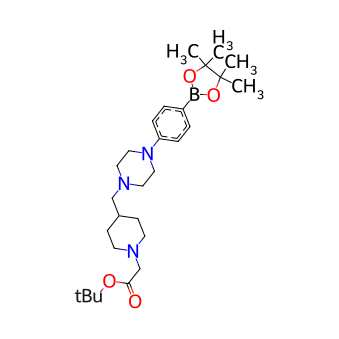 CC(C)(C)OC(=O)CN1CCC(CN2CCN(c3ccc(B4OC(C)(C)C(C)(C)O4)cc3)CC2)CC1